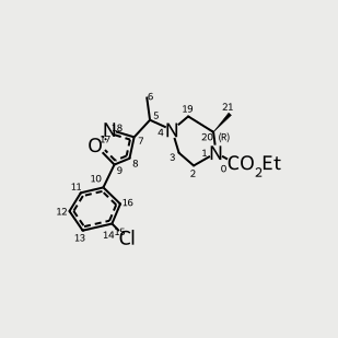 CCOC(=O)N1CCN(C(C)c2cc(-c3cccc(Cl)c3)on2)C[C@H]1C